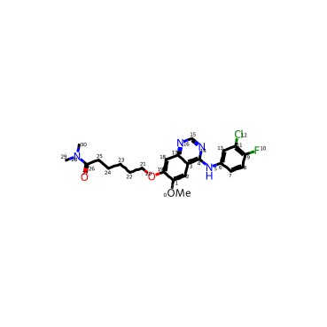 COc1cc2c(Nc3ccc(F)c(Cl)c3)ncnc2cc1OCCCCCC(=O)N(C)C